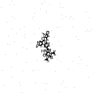 CN1CC(CN(C(=O)c2ccc(F)nc2)c2ccc(-c3nc4c([nH]3)c(=O)n(C3CC3)c(=O)n4C3CC3)cn2)CC1=O